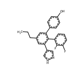 CCCc1cc(-c2ccc(O)cc2)c(-c2cccc(F)c2F)c(-c2cn[nH]c2)c1